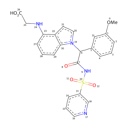 COc1cccc(C(C(=O)NS(=O)(=O)c2cccnc2)n2ccc3c(NCC(=O)O)cccc32)c1